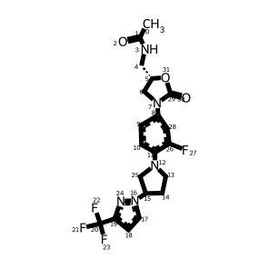 CC(=O)NC[C@H]1CN(c2ccc(N3CCC(n4ccc(C(F)(F)F)n4)C3)c(F)c2)C(=O)O1